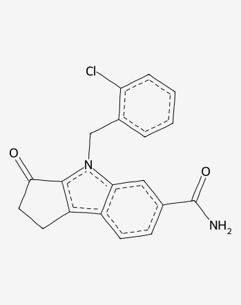 NC(=O)c1ccc2c3c(n(Cc4ccccc4Cl)c2c1)C(=O)CC3